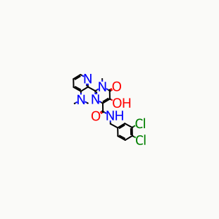 CN(C)c1cccnc1-c1nc(C(=O)NCc2ccc(Cl)c(Cl)c2)c(O)c(=O)n1C